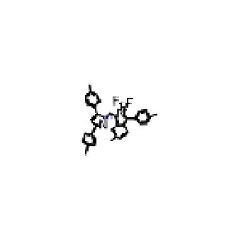 CC1=CC2=C(/C=C3\N=C(c4ccc(C)cc4)C=C3c3ccc(C)cc3)N(B(F)F)C(c3ccc(C)cc3)C2C=C1